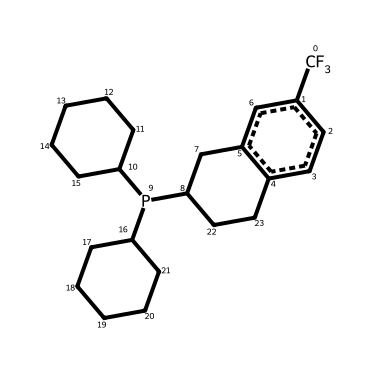 FC(F)(F)c1ccc2c(c1)CC(P(C1CCCCC1)C1CCCCC1)CC2